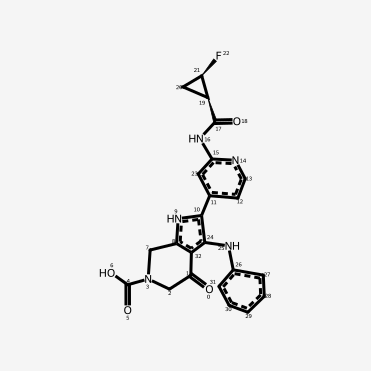 O=C1CN(C(=O)O)Cc2[nH]c(-c3ccnc(NC(=O)[C@H]4C[C@H]4F)c3)c(Nc3ccccc3)c21